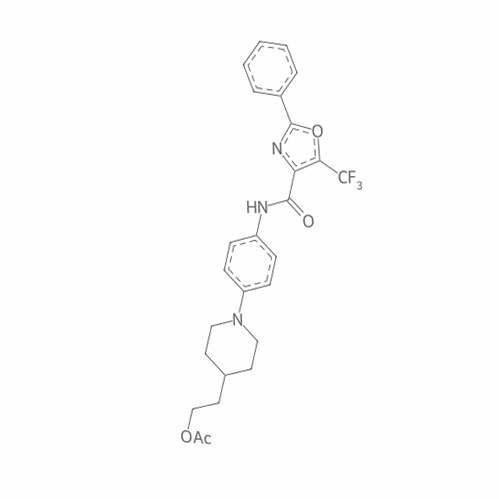 CC(=O)OCCC1CCN(c2ccc(NC(=O)c3nc(-c4ccccc4)oc3C(F)(F)F)cc2)CC1